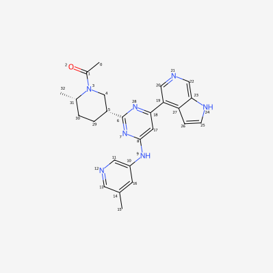 CC(=O)N1C[C@H](c2nc(Nc3cncc(C)c3)cc(-c3cncc4[nH]ccc34)n2)CC[C@@H]1C